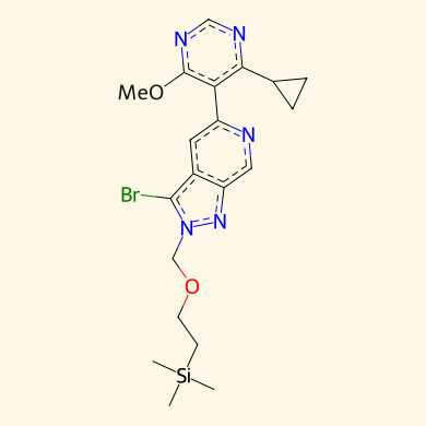 COc1ncnc(C2CC2)c1-c1cc2c(Br)n(COCC[Si](C)(C)C)nc2cn1